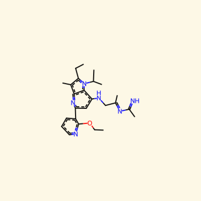 CCOc1ncccc1-c1cc(NC/C(C)=N/C(C)=N)c2c(n1)c(C)c(CC)n2C(C)C